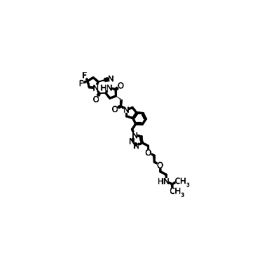 CC(C)NCCOCCOCc1cn(Cc2cccc3c2CN(C(=O)C[C@@H]2C[C@@H](C(=O)N4CC(F)(F)C[C@H]4C#N)NC2=O)C3)nn1